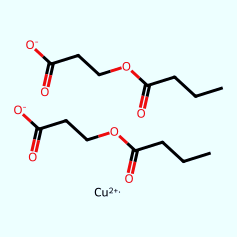 CCCC(=O)OCCC(=O)[O-].CCCC(=O)OCCC(=O)[O-].[Cu+2]